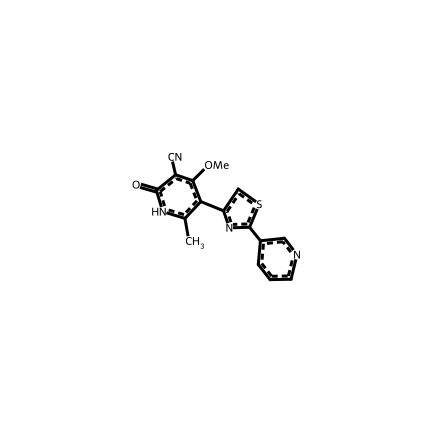 COc1c(-c2csc(-c3cccnc3)n2)c(C)[nH]c(=O)c1C#N